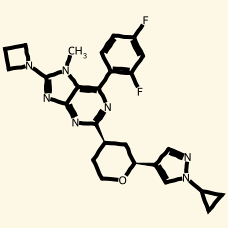 Cn1c(N2CCC2)nc2nc([C@@H]3CCO[C@H](c4cnn(C5CC5)c4)C3)nc(-c3ccc(F)cc3F)c21